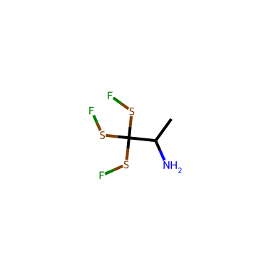 CC(N)C(SF)(SF)SF